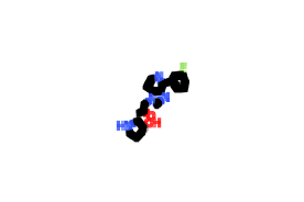 O=C(C[C@H]1NCCC[C@@H]1O)Cn1cnc2c(-c3cccc(F)c3)nccc21